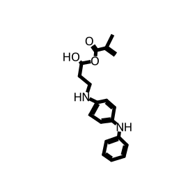 C=C(C)C(=O)OC(O)CCNc1ccc(Nc2ccccc2)cc1